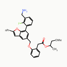 CCCc1cc2cc(COc3ccccc3CC(=O)OC(C)COC)cc(-c3cccc(CN)c3F)c2o1